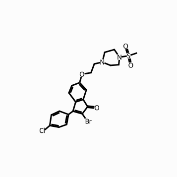 CS(=O)(=O)N1CCN(CCOc2ccc3c(c2)C(=O)C(Br)=C3c2ccc(Cl)cc2)CC1